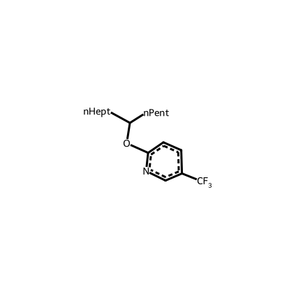 CCCCCCCC(CCCCC)Oc1ccc(C(F)(F)F)cn1